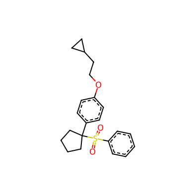 O=S(=O)(c1ccccc1)C1(c2ccc(OCCC3CC3)cc2)CCCC1